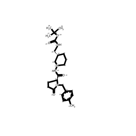 Cc1ccc(CN2C(=O)CC[C@H]2C(=O)NN2CCC[C@@H](CNC(=O)OC(C)(C)C)C2)cc1